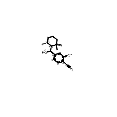 C[C@H]1CCCC(C)(C)[C@H]1C(O)c1ccc(C#N)c(Cl)c1